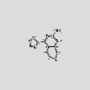 Nc1nc(-c2nccs2)c2ccccc2n1